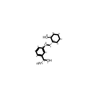 CCC[C@@H](O)c1cccc(OC[C@H]2CCCC[C@@H]2O)c1